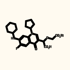 CCOC(=O)COC(C(=O)O)c1cn(C2CCCC2)c2cc(NC3CCCCC3)c(F)cc2c1=O